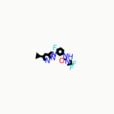 O=C(Nc1ccc(F)c(-n2cc3cc(C4CC4)cnc3n2)c1)N1CC(F)(F)C1